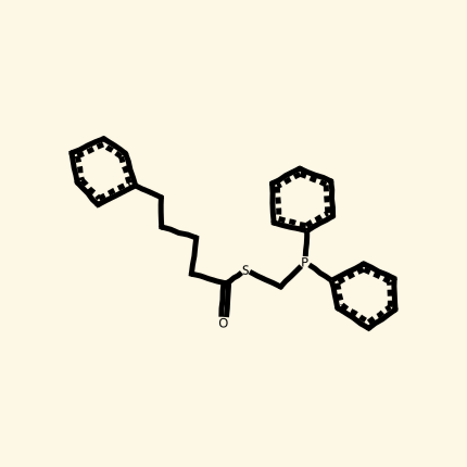 O=C(CCCCc1ccccc1)SCP(c1ccccc1)c1ccccc1